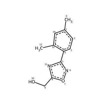 Cc1ccc(-c2noc(CO)n2)c(C)c1